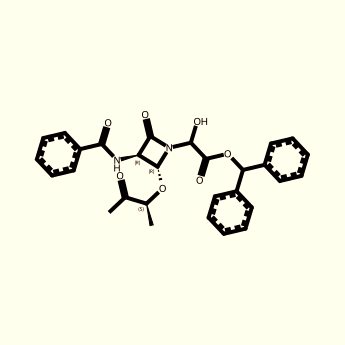 CC(=O)[C@H](C)O[C@@H]1[C@@H](NC(=O)c2ccccc2)C(=O)N1C(O)C(=O)OC(c1ccccc1)c1ccccc1